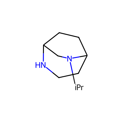 CC(C)N1CC2CCC1CCN2